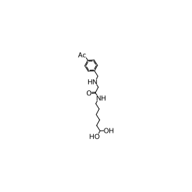 CC(=O)c1ccc(CNCC(=O)NCCCCCC(O)O)cc1